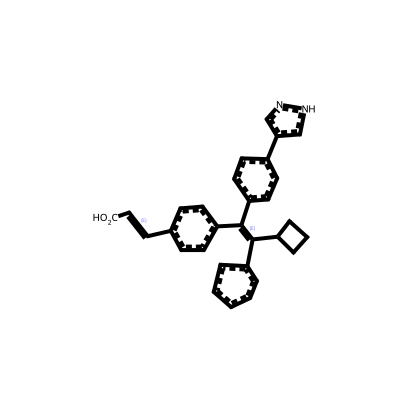 O=C(O)/C=C/c1ccc(/C(=C(\c2ccccc2)C2CCC2)c2ccc(-c3cn[nH]c3)cc2)cc1